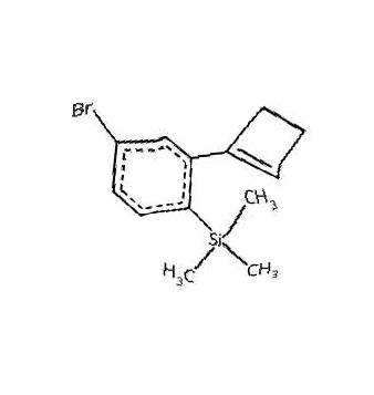 C[Si](C)(C)c1ccc(Br)cc1C1=CCC1